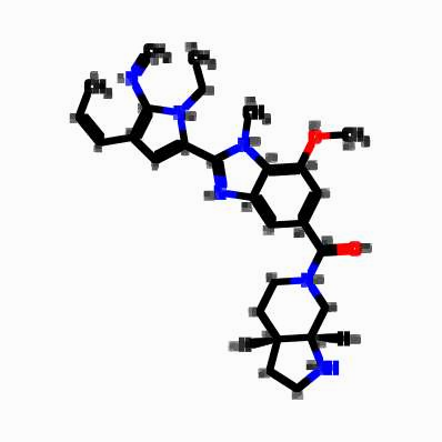 C=Nc1c(/C=C\C)cc(-c2nc3cc(C(=O)N4CC[C@H]5CCN[C@H]5C4)cc(OC)c3n2C)n1CC